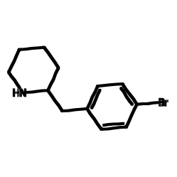 Brc1ccc(CC2CCCCN2)cc1